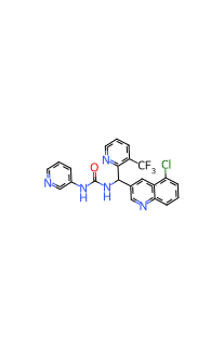 O=C(Nc1cccnc1)NC(c1cnc2cccc(Cl)c2c1)c1ncccc1C(F)(F)F